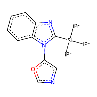 CC(C)[Si](c1nc2ccccc2n1-c1cnco1)(C(C)C)C(C)C